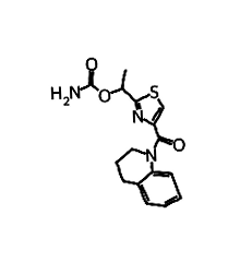 CC(OC(N)=O)c1nc(C(=O)N2CCCc3ccccc32)cs1